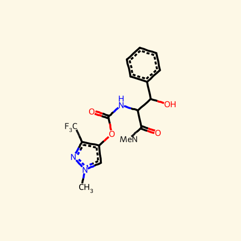 CNC(=O)C(NC(=O)Oc1cn(C)nc1C(F)(F)F)C(O)c1ccccc1